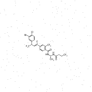 C[C@H](NC(=O)CCC(F)(F)F)NC(=O)c1ccc(/C(F)=C/C(c2ccc(Cl)c(Br)c2)C(F)(F)F)cc1C(F)(F)F